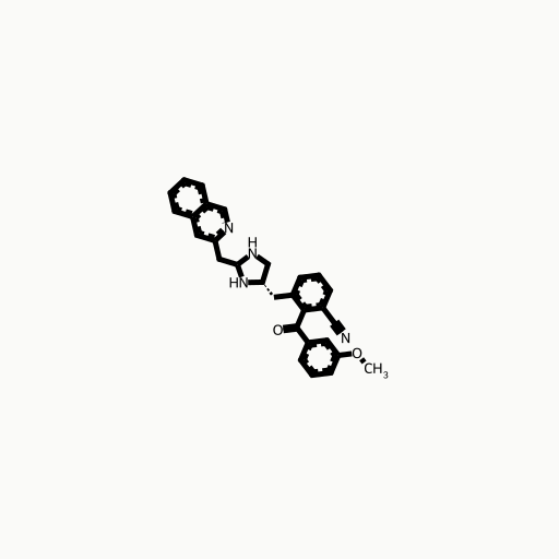 COc1cccc(C(=O)c2c(C#N)cccc2C[C@H]2CNC(Cc3cc4ccccc4cn3)N2)c1